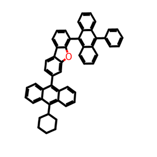 c1ccc(-c2c3ccccc3c(-c3cccc4c3oc3cc(-c5c6ccccc6c(C6CCCCC6)c6ccccc56)ccc34)c3ccccc23)cc1